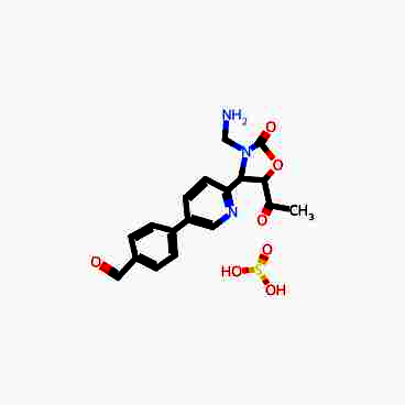 CC(=O)C1OC(=O)N(CN)C1c1ccc(-c2ccc(C=O)cc2)cn1.O=S(O)O